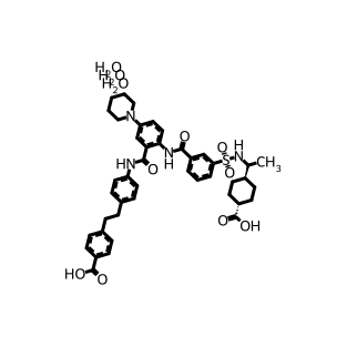 CC(NS(=O)(=O)c1cccc(C(=O)Nc2ccc(N3CCCCC3)cc2C(=O)Nc2ccc(CCc3ccc(C(=O)O)cc3)cc2)c1)[C@H]1CC[C@H](C(=O)O)CC1.O.O.O